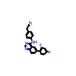 N#CCc1ccc(Nc2ncnc3ccc(-c4ccc(F)cc4F)cc23)cc1